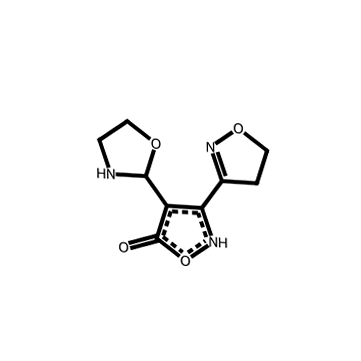 O=c1o[nH]c(C2=NOCC2)c1C1NCCO1